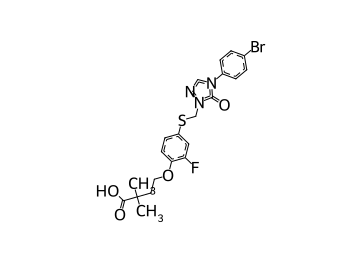 CC(C)(CCOc1ccc(SCn2ncn(-c3ccc(Br)cc3)c2=O)cc1F)C(=O)O